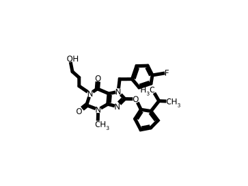 CC(C)c1ccccc1Oc1nc2c(c(=O)n(CCCO)c(=O)n2C)n1Cc1ccc(F)cc1